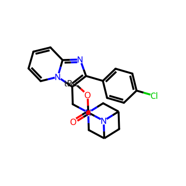 CC(C)(C)OC(=O)N1C2CC1CN(Cc1c(-c3ccc(Cl)cc3)nc3ccccn13)C2